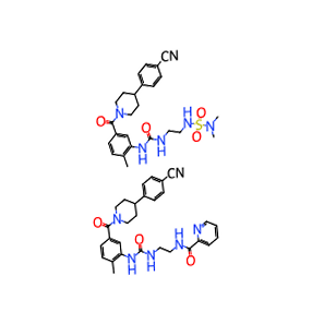 Cc1ccc(C(=O)N2CCC(c3ccc(C#N)cc3)CC2)cc1NC(=O)NCCNC(=O)c1ccccn1.Cc1ccc(C(=O)N2CCC(c3ccc(C#N)cc3)CC2)cc1NC(=O)NCCNS(=O)(=O)N(C)C